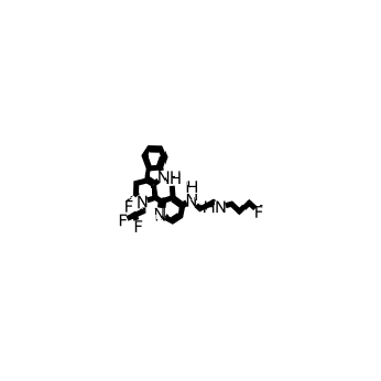 Cc1c(NCCNCCCF)ccnc1C1c2[nH]c3ccccc3c2C[C@@H](C)N1CC(F)(F)F